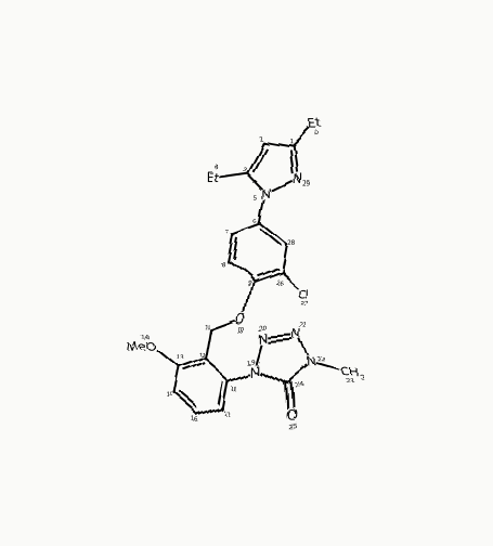 CCc1cc(CC)n(-c2ccc(OCc3c(OC)cccc3-n3nnn(C)c3=O)c(Cl)c2)n1